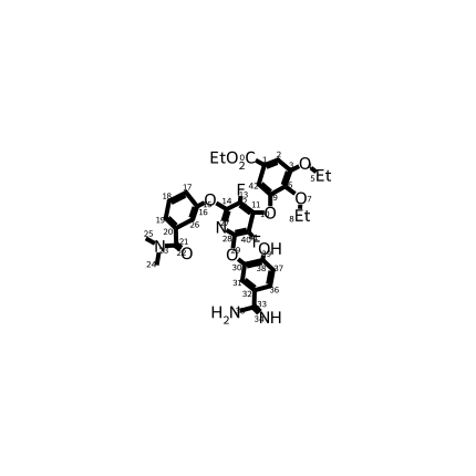 CCOC(=O)c1cc(OCC)c(OCC)c(Oc2c(F)c(Oc3cccc(C(=O)N(C)C)c3)nc(Oc3cc(C(=N)N)ccc3O)c2F)c1